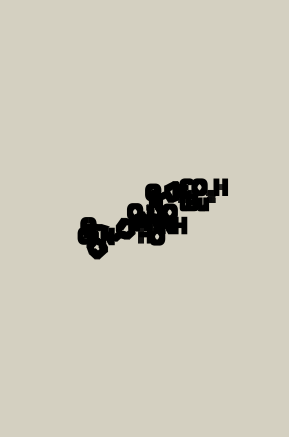 CC(C)(C)C1CC(C(=O)N2CC(NC(=O)c3ccc(CN4CCS(=O)(=O)c5ccccc54)cc3)C3(C2)NC(=O)NC3=O)CCN1C(=O)O